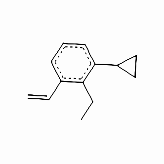 C=Cc1cccc(C2CC2)c1CC